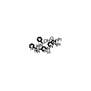 CCCn1c(=O)c2ccc(Nc3cc(N[C@H](CO)c4ccccc4)c(-c4nnc(-c5ccccn5)o4)cn3)nc2n1C(C)C